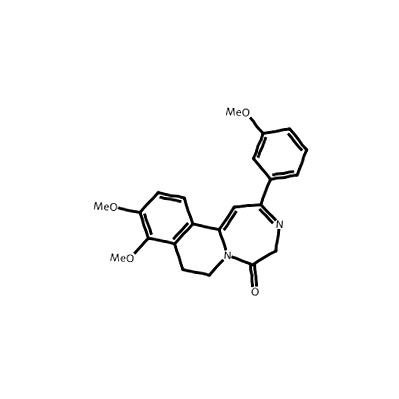 COc1cccc(C2=NCC(=O)N3CCc4c(ccc(OC)c4OC)C3=C2)c1